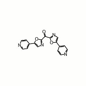 O=C(c1ncc(-c2ccncc2)o1)c1ncc(-c2ccncc2)o1